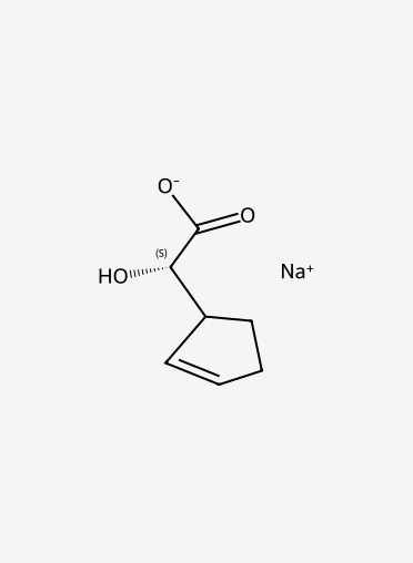 O=C([O-])[C@@H](O)C1C=CCC1.[Na+]